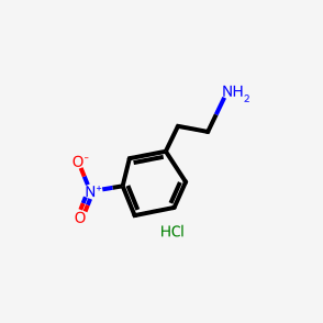 Cl.NCCc1cccc([N+](=O)[O-])c1